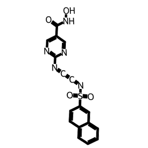 O=C(NO)c1cnc(N=C=C=NS(=O)(=O)c2ccc3ccccc3c2)nc1